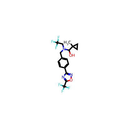 CC1(C(O)N(Cc2ccc(-c3noc(C(F)(F)F)n3)cc2)CC(F)(F)F)CC1